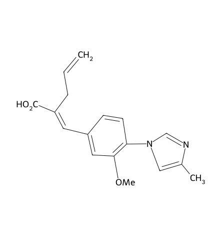 C=CC/C(=C\c1ccc(-n2cnc(C)c2)c(OC)c1)C(=O)O